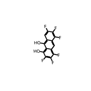 Oc1c(F)c(F)c(F)c2cc3c(F)c(F)c(F)cc3c(O)c12